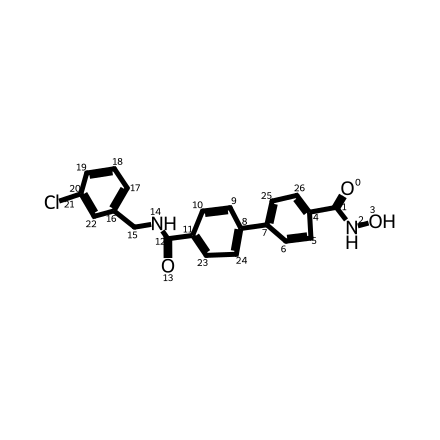 O=C(NO)c1ccc(-c2ccc(C(=O)NCc3cccc(Cl)c3)cc2)cc1